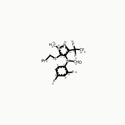 CC(C)CSc1c(N(C=O)c2ccc(F)cc2F)c(C(F)(F)C(F)(F)F)nn1C